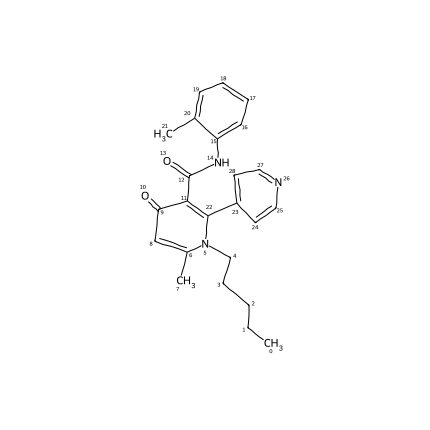 CCCCCn1c(C)cc(=O)c(C(=O)Nc2ccccc2C)c1-c1ccncc1